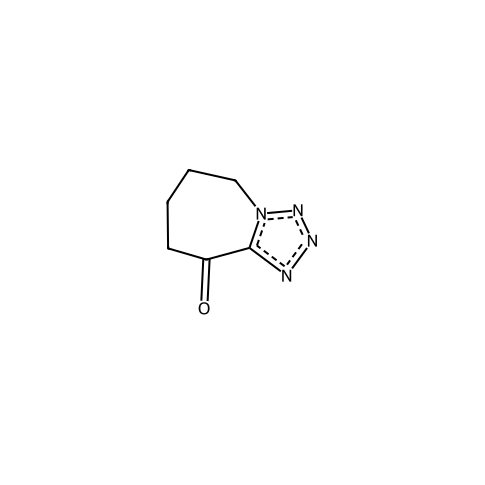 O=C1CCCCn2nnnc21